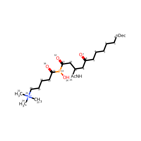 CCCCCCCCCCCCCCCC(=O)CC(CC(=O)P(O)C(=O)CCCC[N+](C)(C)C)NC(C)=O